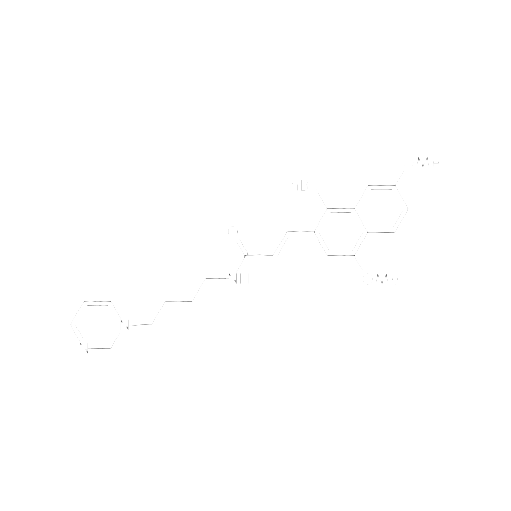 CCCCc1c(/C=C/C(=O)NCCCCN2C=CC=NC2)cc(OC)c2ccc(OC)cc12